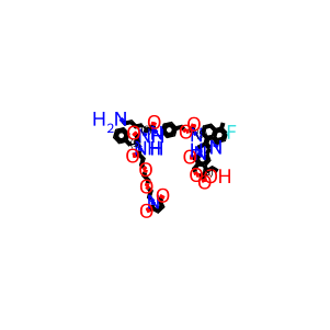 CC[C@@]1(O)C(=O)OCc2c1cc1n(c2=O)Cc2c-1nc1cc(F)c(C)c3c1c2[C@@H](NC(=O)OCc1ccc(NC(=O)[C@H](CCCCN)NC(=O)[C@H](Cc2ccccc2)NC(=O)CCOCCOCCN2C(=O)C=CC2=O)cc1)CC3